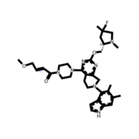 COC/C=C/C(=O)N1CCN(c2nc(OC[C@@H]3CC(C)(F)CN3C)nc3c2CCN(c2c(C)c(C)cc4[nH]ccc24)C3)CC1